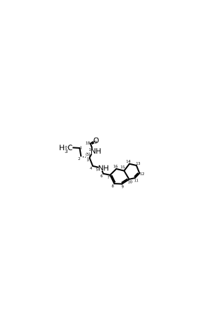 CCC[C@@H](CNCC1=CC=C2C=CCCC2C1)NC=O